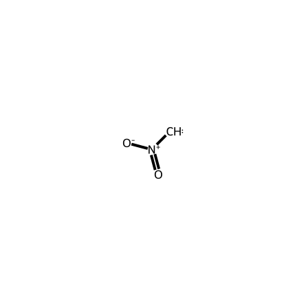 [CH][N+](=O)[O-]